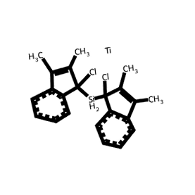 CC1=C(C)C(Cl)([SiH2]C2(Cl)C(C)=C(C)c3ccccc32)c2ccccc21.[Ti]